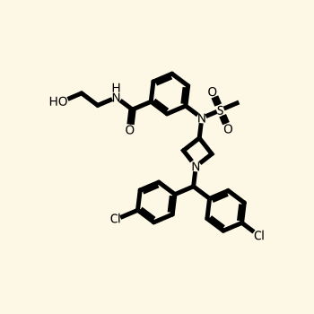 CS(=O)(=O)N(c1cccc(C(=O)NCCO)c1)C1CN(C(c2ccc(Cl)cc2)c2ccc(Cl)cc2)C1